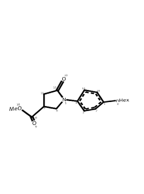 CCCCCCc1ccc(N2CC(C(=O)OC)CC2=O)cc1